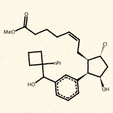 CCCC1(C(O)c2cccc([C@H]3[C@@H](C/C=C\CCCC(=O)OC)[C@H](Cl)C[C@H]3O)c2)CCC1